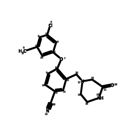 Cc1cc(Cl)cc(Oc2ccc(C#N)cc2CN2CCNC(=O)C2)c1